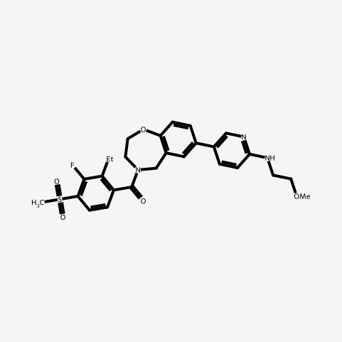 CCc1c(C(=O)N2CCOc3ccc(-c4ccc(NCCOC)nc4)cc3C2)ccc(S(C)(=O)=O)c1F